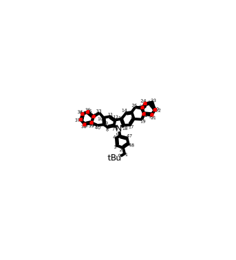 CC(C)(C)Cc1ccc(-n2c3cc4c(cc3c3cc5c(cc32)C2c3ccccc3C5c3ccccc32)C2c3ccccc3C4c3ccccc32)cc1